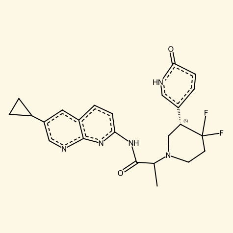 CC(C(=O)Nc1ccc2cc(C3CC3)cnc2n1)N1CCC(F)(F)[C@@H](c2ccc(=O)[nH]c2)C1